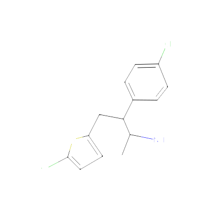 CC(N)C(Cc1ccc(Cl)s1)c1ccc(Cl)cc1